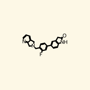 O=C1Cc2cc(-c3ccc(CN4Cc5cccnc5C4)c(F)c3)ccc2N1